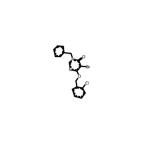 O=c1c(Br)c(OCc2ccccc2Cl)ncn1Cc1ccccc1